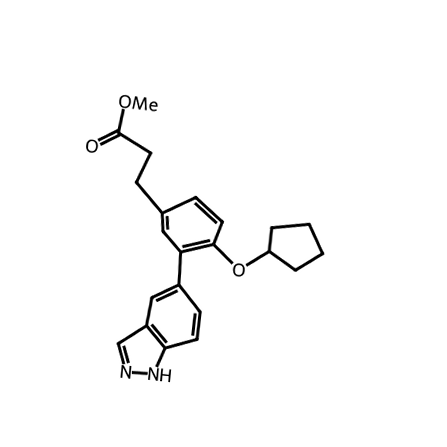 COC(=O)CCc1ccc(OC2CCCC2)c(-c2ccc3[nH]ncc3c2)c1